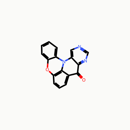 O=c1c2cccc3c2n(c2cncnc12)-c1ccccc1O3